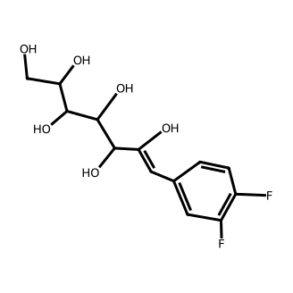 OCC(O)C(O)C(O)C(O)C(O)=Cc1ccc(F)c(F)c1